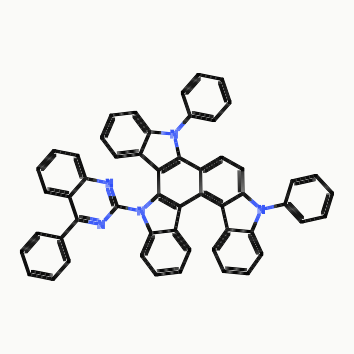 c1ccc(-c2nc(-n3c4ccccc4c4c5c(ccc6c5c5ccccc5n6-c5ccccc5)c5c(c6ccccc6n5-c5ccccc5)c43)nc3ccccc23)cc1